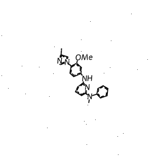 COc1cc(Nc2cccc(N(C)c3ccccc3)n2)ccc1-n1cnc(C)c1